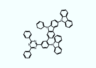 C1=CCCC(n2c3ccc(-n4c5ccccc5c5ccccc54)cc3c3ccc(-c4cc(-c5nc(-c6ccccc6)nc(-c6ccccc6)n5)ccc4-n4c5ccccc5c5ccccc54)cc32)=C1